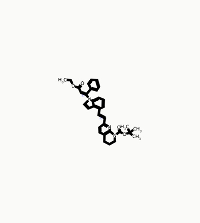 CCOC(=O)/C=C(\c1ccccc1)n1ccc2c(/C=C/c3ccc4c(n3)N(C(=O)OC(C)(C)C)CCC4)cccc21